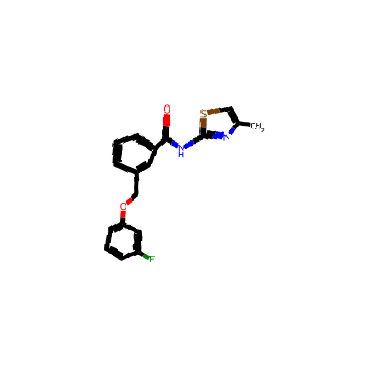 Cc1csc(NC(=O)c2cccc(COc3cccc(F)c3)c2)n1